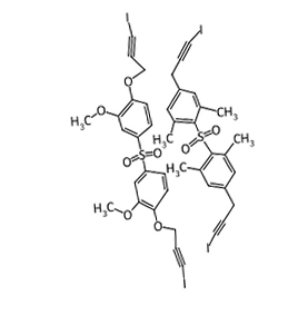 COc1cc(S(=O)(=O)c2ccc(OCC#CI)c(OC)c2)ccc1OCC#CI.Cc1cc(CC#CI)cc(C)c1S(=O)(=O)c1c(C)cc(CC#CI)cc1C